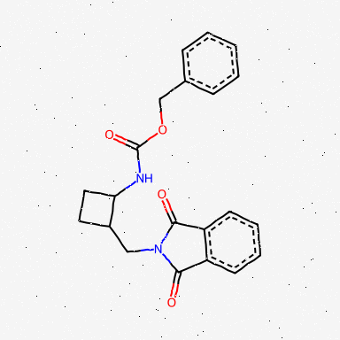 O=C(NC1CCC1CN1C(=O)c2ccccc2C1=O)OCc1ccccc1